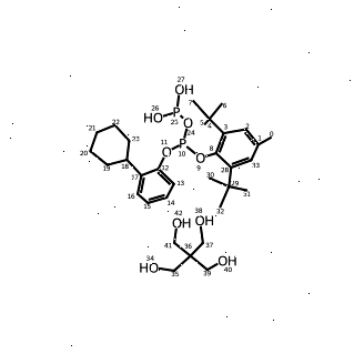 Cc1cc(C(C)(C)C)c(OP(Oc2ccccc2C2CCCCC2)OP(O)O)c(C(C)(C)C)c1.OCC(CO)(CO)CO